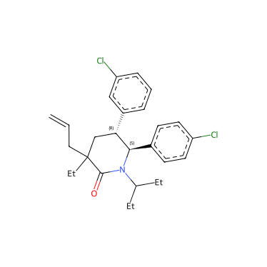 C=CCC1(CC)C[C@H](c2cccc(Cl)c2)[C@@H](c2ccc(Cl)cc2)N(C(CC)CC)C1=O